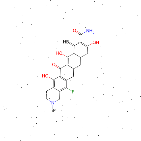 B=C1C(C(N)=O)=C(O)CC2CC3Cc4c(F)c5c(c(O)c4C(=O)C3=C(O)C12)CCN(C(C)C)C5